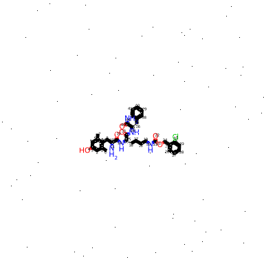 Cc1cc(O)cc(C)c1CC(N)C(=O)N[C@@H](CCCCNC(=O)OCc1ccccc1Cl)C(=O)N[C@@H](Cc1ccccc1)C(N)=O